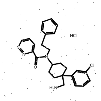 Cl.NCC1(c2cccc(Cl)c2)CCC(N(CCc2ccccc2)C(=O)c2cccnn2)CC1